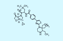 CCC1NCCN(c2nc(-c3ccc(C(=O)NC(CC(C)(C)C)C(=O)N4C[C@H](C5CC5)[C@H]5OCC(=O)[C@H]54)cc3)cs2)C1(CC)CC